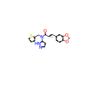 O=C(/C=C/c1ccc2c(c1)OCO2)N(Cc1cccs1)c1ccn[nH]1